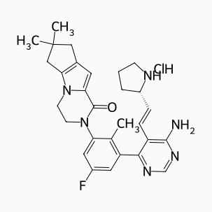 Cc1c(-c2ncnc(N)c2C=C[C@@H]2CCCN2)cc(F)cc1N1CCn2c(cc3c2CC(C)(C)C3)C1=O.Cl